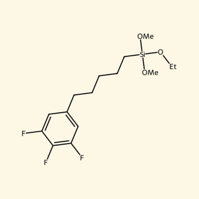 CCO[Si](CCCCCc1cc(F)c(F)c(F)c1)(OC)OC